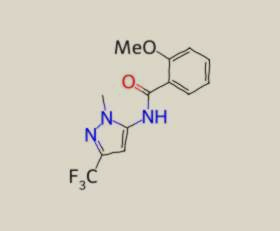 COc1ccccc1C(=O)Nc1cc(C(F)(F)F)nn1C